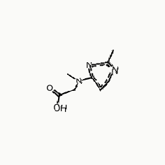 Cc1nccc(N(C)CC(=O)O)n1